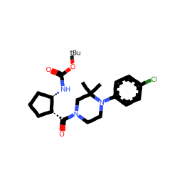 CC(C)(C)OC(=O)N[C@H]1CCC[C@H]1C(=O)N1CCN(c2ccc(Cl)cc2)C(C)(C)C1